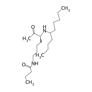 CCCCCC(CCCC)N[C@@H](CCCCNC(=O)CCC)C(C)=O